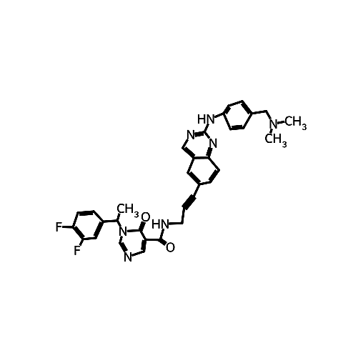 CC(c1ccc(F)c(F)c1)n1cncc(C(=O)NCC#Cc2ccc3nc(Nc4ccc(CN(C)C)cc4)ncc3c2)c1=O